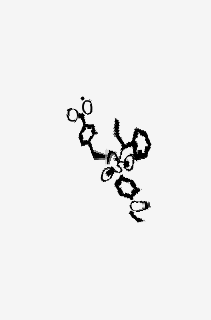 CCOc1ccc(S(=O)(=O)N(Cc2ccc(C(=O)OC)cc2)C(CC)c2ccccc2)cc1